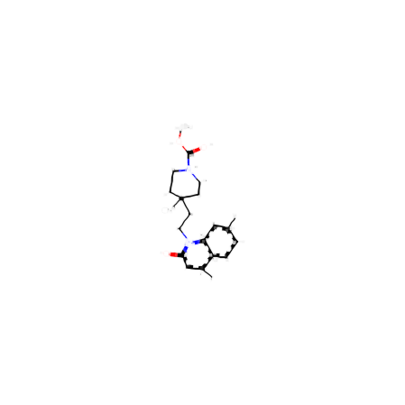 [C-]#[N+]C1(CCn2c(=O)cc(C)c3ccc(C)cc32)CCN(C(=O)OC(C)(C)C)CC1